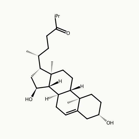 CC(C)C(=O)CC[C@@H](C)[C@H]1C[C@H](O)[C@H]2[C@@H]3CC=C4C[C@@H](O)CC[C@]4(C)[C@H]3CC[C@@]21C